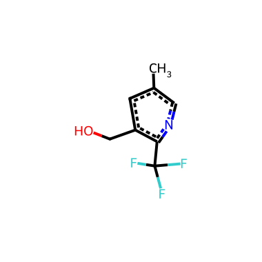 Cc1cnc(C(F)(F)F)c(CO)c1